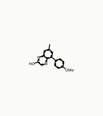 COc1ccc(-c2cc(C)cc3nc(O)cnc23)cc1